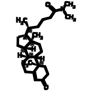 C[C@H](CCCC(=O)N(C)C)[C@H]1CC[C@H]2[C@@H]3CCC4=CC(=O)CC[C@]4(C)[C@H]3CC[C@]12C